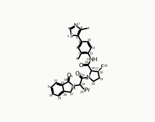 Cc1cc(-c2scnc2C)ccc1NC(=O)C1[C@@H](F)CCN1C(=O)C(C(C)C)N1Cc2ccccc2C1=O